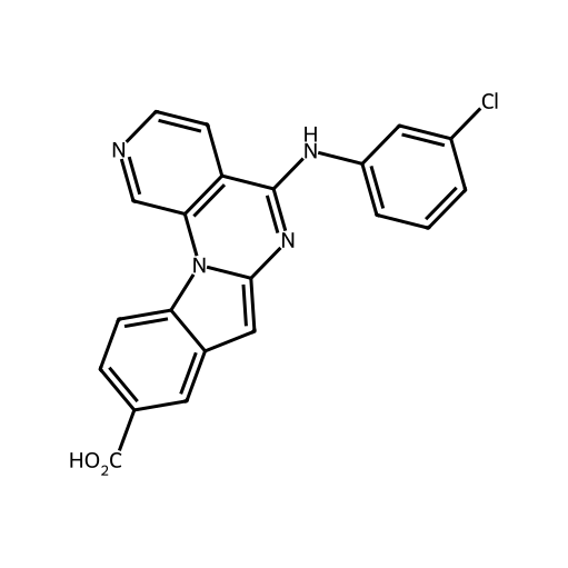 O=C(O)c1ccc2c(c1)cc1nc(Nc3cccc(Cl)c3)c3ccncc3n12